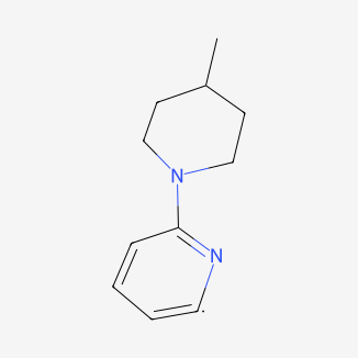 CC1CCN(c2ccc[c]n2)CC1